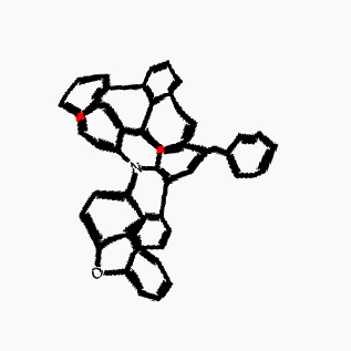 c1ccc(-c2ccc(N(c3ccc4oc5ccccc5c4c3)c3ccccc3-c3cccc4cccc(-c5ccccc5)c34)c(-c3ccccc3)c2)cc1